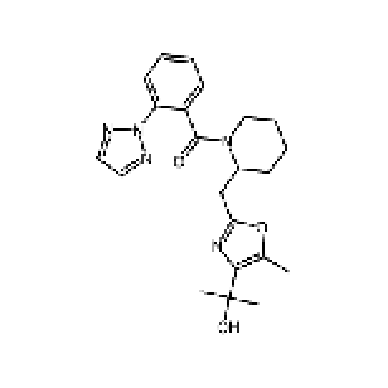 Cc1oc(CC2CCCCN2C(=O)c2ccccc2-n2nccn2)nc1C(C)(C)O